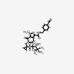 Cn1nc(C(=O)NCc2ccc(C#N)cc2)c2c1C(=O)N(CC1(S(=O)(=O)C(C)(C)[C@H](O)C(C)(C)N)CC1)CC2